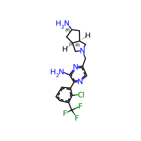 Nc1nc(CN2C[C@H]3C[C@@H](N)C[C@H]3C2)cnc1-c1cccc(C(F)(F)F)c1Cl